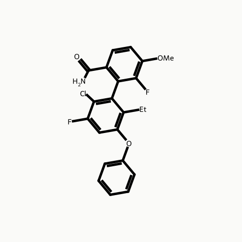 CCc1c(Oc2ccccc2)cc(F)c(Cl)c1-c1c(C(N)=O)ccc(OC)c1F